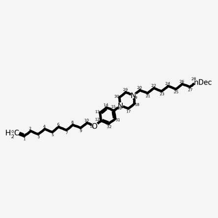 C=CCCCCCCCCCOc1ccc(N2CCN(CCCCCCCCCCCCCCCCCC)CC2)cc1